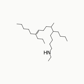 CCCCCC(=CCCC(C)C(CCCC)CCCCNCC)CCC